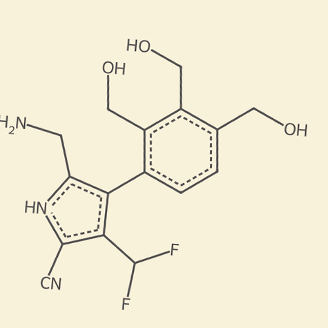 N#Cc1[nH]c(CN)c(-c2ccc(CO)c(CO)c2CO)c1C(F)F